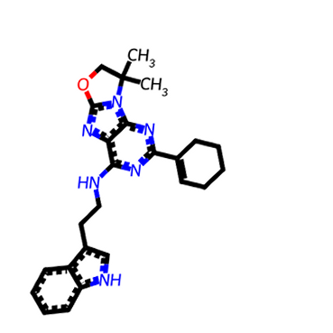 CC1(C)COc2nc3c(NCCc4c[nH]c5ccccc45)nc(C4=CCCCC4)nc3n21